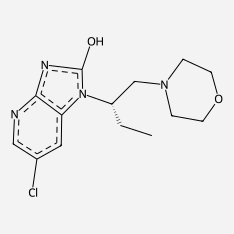 CC[C@@H](CN1CCOCC1)n1c(O)nc2ncc(Cl)cc21